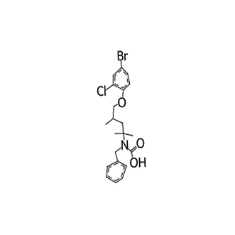 CC(COc1ccc(Br)cc1Cl)CC(C)(C)N(Cc1ccccc1)C(=O)O